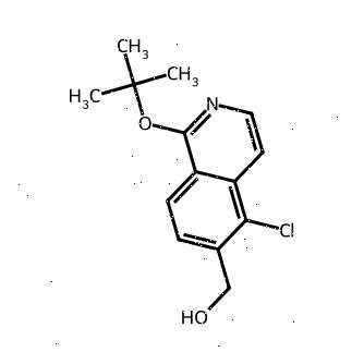 CC(C)(C)Oc1nccc2c(Cl)c(CO)ccc12